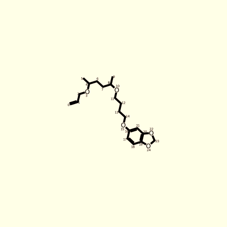 C=CCOC(C)CCC(C)OCCCCOc1ccc2c(c1)OCO2